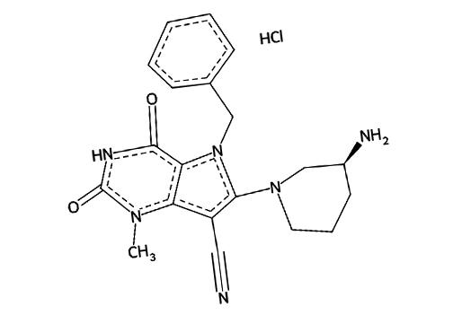 Cl.Cn1c(=O)[nH]c(=O)c2c1c(C#N)c(N1CCC[C@H](N)C1)n2Cc1ccccc1